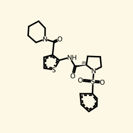 O=C(Nc1sccc1C(=O)N1CCCCC1)[C@H]1CCCN1S(=O)(=O)c1ccccc1